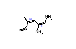 C=N/C(C)=C\C(N)=C/N